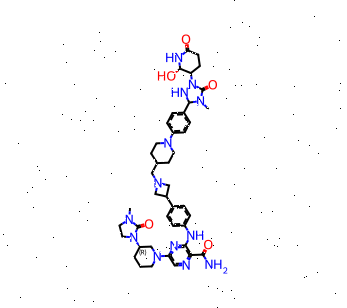 CN1CCN([C@@H]2CCCN(c3cnc(C(N)=O)c(Nc4ccc(C5CN(CC6CCN(c7ccc(C8NN(C9CCC(=O)NC9O)C(=O)N8C)cc7)CC6)C5)cc4)n3)C2)C1=O